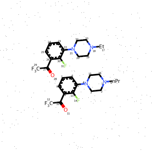 CCCN1CCN(c2cccc(C(=O)C(F)(F)F)c2F)CC1.CCN1CCN(c2cccc(C(=O)C(F)(F)F)c2F)CC1